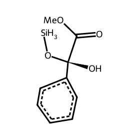 COC(=O)[C@@](O)(O[SiH3])c1ccccc1